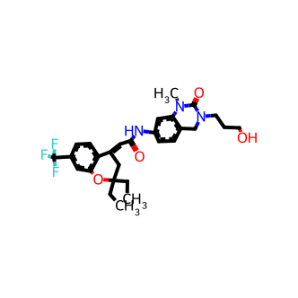 CCC1(CC)C/C(=C\C(=O)Nc2ccc3c(c2)N(C)C(=O)N(CCCO)C3)c2ccc(C(F)(F)F)cc2O1